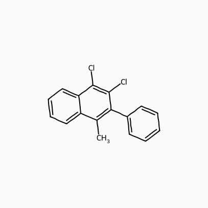 Cc1c(-c2ccccc2)c(Cl)c(Cl)c2ccccc12